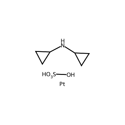 C1CC1NC1CC1.O=S(=O)(O)O.[Pt]